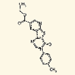 CCOC(=O)c1cnc2sc3c(=O)n(-c4ccc(C)cc4)cnc3c2c1